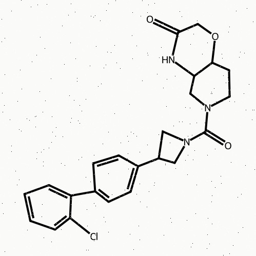 O=C1COC2CCN(C(=O)N3CC(c4ccc(-c5ccccc5Cl)cc4)C3)CC2N1